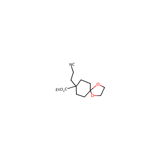 [C-]#[N+]CCC1(C(=O)OCC)CCC2(CC1)OCCO2